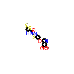 COc1cc2nccc(Oc3ccc4nc(NC(=O)c5ccc(SC)s5)sc4c3)c2cc1OC